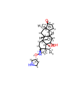 CC1(C)/C(=N/O[C@@H]2CCNC2)CC[C@]2(C)[C@@H]3CC[C@]4(C)C(=O)CC[C@H]4[C@@H]3CC(O)C12O